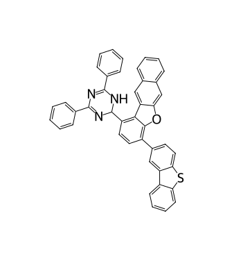 c1ccc(C2=NC(c3ccc(-c4ccc5sc6ccccc6c5c4)c4oc5cc6ccccc6cc5c34)NC(c3ccccc3)=N2)cc1